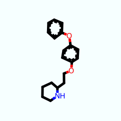 c1ccc(Oc2ccc(OCCC3CCCCN3)cc2)cc1